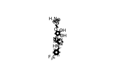 NS(=O)(=O)OCCO[C@@H]1C[C@H](n2nnc3c(NCc4ccc(C(F)(F)F)cc4)ncnc32)[C@@H](O)[C@H]1O